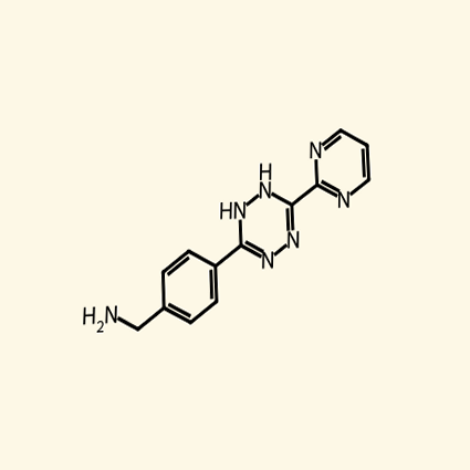 NCc1ccc(C2=NN=C(c3ncccn3)NN2)cc1